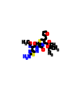 CO/N=C(\C(=O)N[C@@H]1C(=O)N2C(C(=O)OC(C)(C)C)=C(CC3CCCO3)CS[C@H]12)c1csc(N)n1